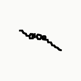 CCCCCCCCCCO[C@H]1CC[C@H](N2CCC(CCCCC)CC2)CC1